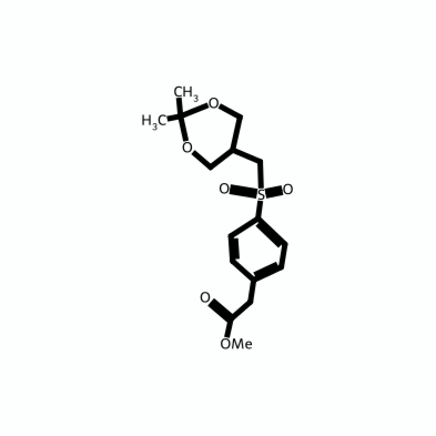 COC(=O)Cc1ccc(S(=O)(=O)CC2COC(C)(C)OC2)cc1